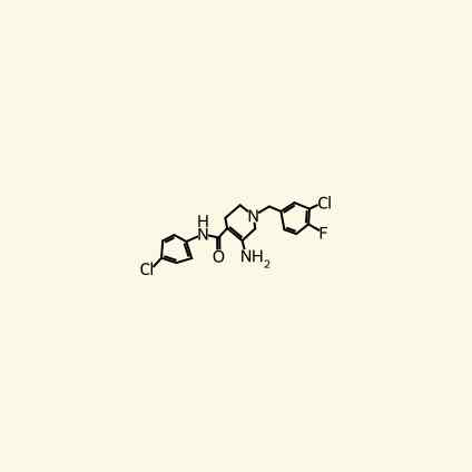 NC1=C(C(=O)Nc2ccc(Cl)cc2)CCN(Cc2ccc(F)c(Cl)c2)C1